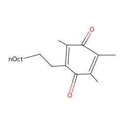 CCCCCCCCCCC1=C(C)C(=O)C(C)=C(C)C1=O